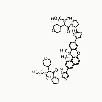 CN(C(=O)O)C(C(=O)N1CCC[C@H]1c1ncc(-c2ccc3c(c2)Oc2ccc4cc(-c5cnc([C@@H]6CCCN6C(=O)C(C6CCOCC6)N(C)C(=O)O)[nH]5)ccc4c2C3(C)C)[nH]1)C1CCOCC1